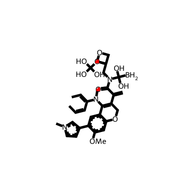 BC(O)(O)N(CC1(OC(O)(O)O)COC1)C(=O)C(=C)C1=C(N(C)C(/C=C\C)=C/C)c2cc(-c3ccn(C)c3)c(OC)cc2OC1